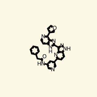 O=C(Cc1ccccc1)Nc1cncc(-c2ccc3[nH]nc(-c4nc5c(-c6ccoc6)nccc5[nH]4)c3n2)c1